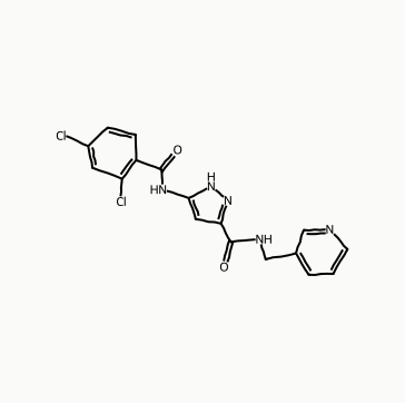 O=C(NCc1cccnc1)c1cc(NC(=O)c2ccc(Cl)cc2Cl)[nH]n1